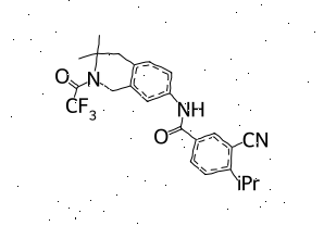 CC(C)c1ccc(C(=O)Nc2ccc3c(c2)CN(C(=O)C(F)(F)F)C(C)(C)C3)cc1C#N